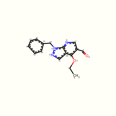 CCOc1c(C=O)cnc2c1cnn2Cc1ccccc1